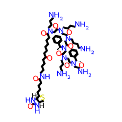 C[C@@H](c1ccccc1)N(CC(N)=O)C(=O)CN(CCCCN)C(=O)CN(C(=O)CN(CCCCN)C(=O)CN(CCCCN)C(=O)CN(CCCCN)C(=O)CCCCCCC(=O)CCCCCNC(=O)CCCCC1SC[C@@H]2NC(=O)N[C@H]12)[C@@H](C)c1ccccc1